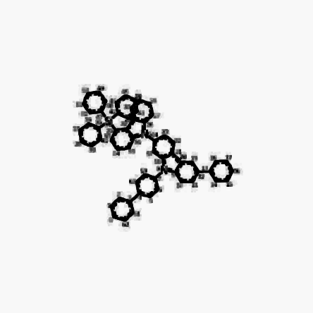 c1ccc(-c2ccc(-n3c4ccc(-c5ccccc5)cc4c4ccc(-n5c6ccccc6c6c([Si](c7ccccc7)(c7ccccc7)c7ccccc7)cccc65)cc43)cc2)cc1